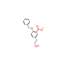 COC(=O)c1cc(CCO)ccc1OCc1ccccc1